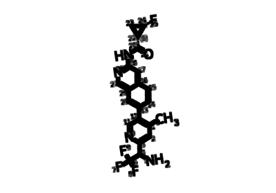 Cc1cc(C(N)C(F)(F)F)ncc1-c1ccc2cc(NC(=O)[C@@H]3C[C@@H]3F)ncc2c1